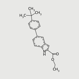 CCOC(=O)c1cc2cc(-c3ccc(C(C)(C)C)cc3)ccc2[nH]1